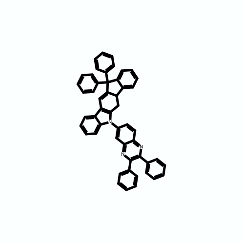 C1=C2C(Cc3c1c1ccccc1n3-c1ccc3nc(-c4ccccc4)c(-c4ccccc4)nc3c1)c1ccccc1C2(c1ccccc1)c1ccccc1